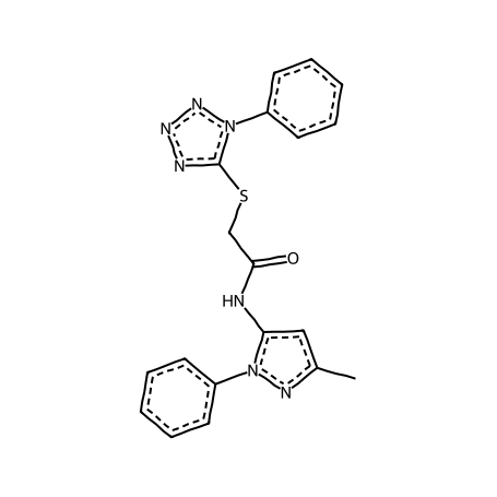 Cc1cc(NC(=O)CSc2nnnn2-c2ccccc2)n(-c2ccccc2)n1